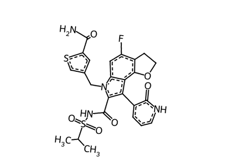 CC(C)S(=O)(=O)NC(=O)c1c(-c2ccc[nH]c2=O)c2c3c(c(F)cc2n1Cc1csc(C(N)=O)c1)CCO3